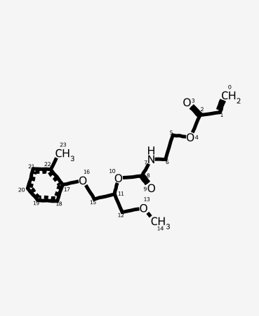 C=CC(=O)OCCNC(=O)OC(COC)COc1ccccc1C